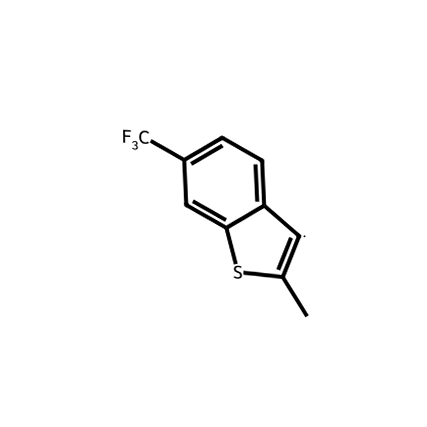 Cc1[c]c2ccc(C(F)(F)F)cc2s1